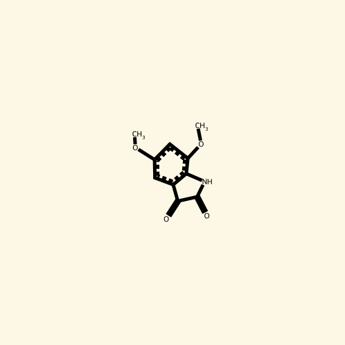 COc1cc(OC)c2c(c1)C(=O)C(=O)N2